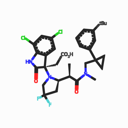 C[C@@H](C(=O)N(C)CC1(c2cccc(C(C)(C)C)c2)CC1)[C@H]1CC(F)(F)CN1[C@@]1(CC(=O)O)C(=O)Nc2c(Cl)cc(Cl)cc21